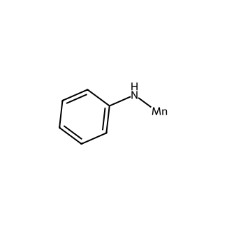 [Mn][NH]c1ccccc1